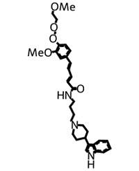 COCCOCOc1ccc(C=CC=CC(=O)NCCCCN2CCC(c3c[nH]c4ccccc34)CC2)cc1OC